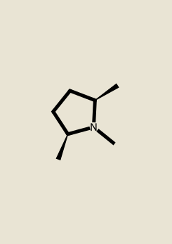 C[C@@H]1CC[C@H](C)N1C